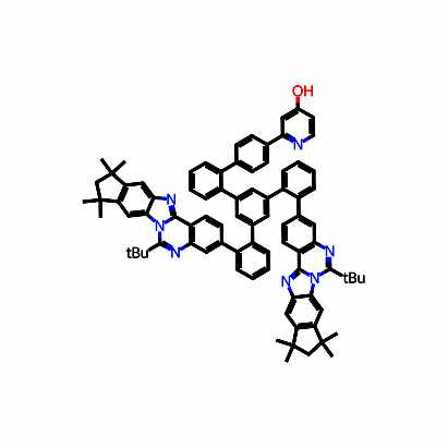 CC(C)(C)c1nc2cc(-c3ccccc3-c3cc(-c4ccccc4-c4ccc(-c5cc(O)ccn5)cc4)cc(-c4ccccc4-c4ccc5c(c4)nc(C(C)(C)C)n4c6cc7c(cc6nc54)C(C)(C)CC7(C)C)c3)ccc2c2nc3cc4c(cc3n12)C(C)(C)CC4(C)C